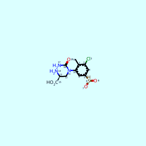 Cc1c(Cl)cc([SH](=O)=O)cc1N(C[C@H](N)C(=O)O)C(N)=O